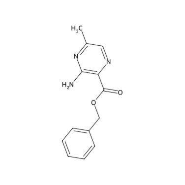 Cc1cnc(C(=O)OCc2ccccc2)c(N)n1